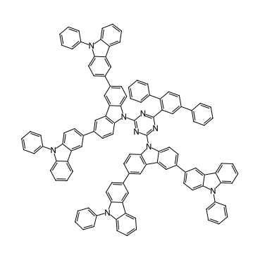 c1ccc(-c2ccc(-c3ccccc3)c(-c3nc(-n4c5ccc(-c6ccc7c(c6)c6ccccc6n7-c6ccccc6)cc5c5cc(-c6ccc7c(c6)c6ccccc6n7-c6ccccc6)ccc54)nc(-n4c5ccc(-c6ccc7c(c6)c6ccccc6n7-c6ccccc6)cc5c5cc(-c6ccc7c(c6)c6ccccc6n7-c6ccccc6)ccc54)n3)c2)cc1